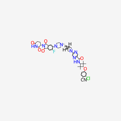 CC1(C)C(NC(=O)c2cnc(N3C[C@@H]4[C@H](CN5CCN(c6cc7c(cc6F)C(=O)N(C6CCC(=O)NC6=O)C7=O)CC5)[C@@H]4C3)cn2)C(C)(C)C1Oc1ccc(C#N)c(Cl)c1